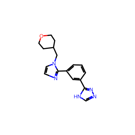 c1cc(-c2nnc[nH]2)cc(-c2nccn2CC2CCOCC2)c1